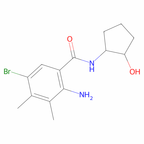 Cc1c(Br)cc(C(=O)NC2CCCC2O)c(N)c1C